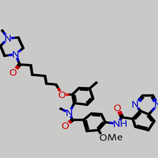 COc1cc(C(=O)N(C)c2ccc(C)cc2OCCCCCC(=O)N2CCN(C)CC2)ccc1NC(=O)c1cccc2nccnc12